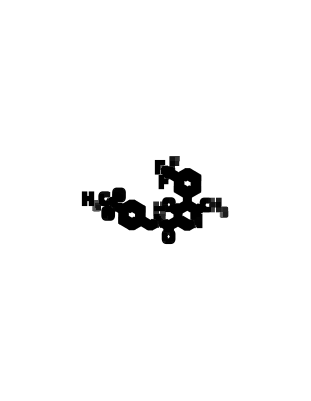 CC1=NC=C(C(=O)NCc2ccc(S(C)(=O)=O)cc2)C(=O)C1c1cccc(C(F)(F)F)c1